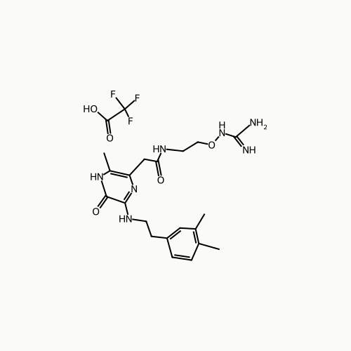 Cc1ccc(CCNc2nc(CC(=O)NCCONC(=N)N)c(C)[nH]c2=O)cc1C.O=C(O)C(F)(F)F